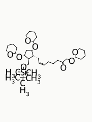 CC(C)(C)[Si](C)(C)OC[C@@H]1[C@@H](C/C=C\CCCC(=O)COC2CCCCO2)[C@H](OC2CCCCO2)C[C@H]1OC1CCCCO1